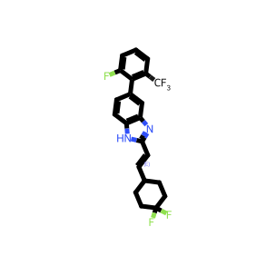 Fc1cccc(C(F)(F)F)c1-c1ccc2[nH]c(/C=C/C3CCC(F)(F)CC3)nc2c1